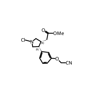 COC(=O)C[C@H]1CN(Cl)C[C@H]1c1cccc(OCC#N)c1